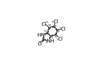 O=c1[nH]c2c(Cl)c(Cl)c(Cl)c(Cl)c2[nH]1